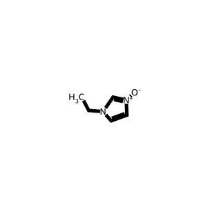 CCn1cc[n+]([O-])c1